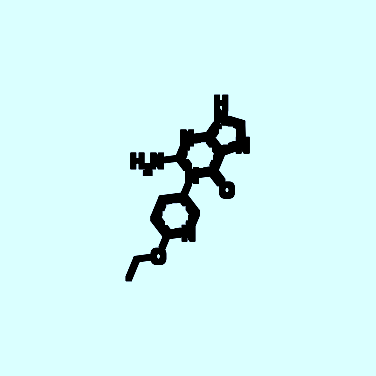 CCOc1ccc(-n2c(N)nc3[nH]cnc3c2=O)cn1